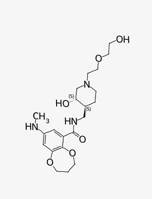 CNc1cc2c(c(C(=O)NC[C@@H]3CCN(CCOCCO)C[C@H]3O)c1)OCCCO2